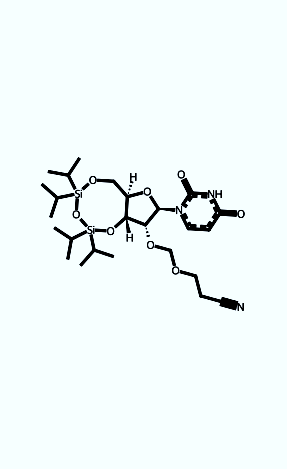 CC(C)[Si]1(C(C)C)OC[C@H]2O[C@@H](n3ccc(=O)[nH]c3=O)[C@H](OCOCCC#N)[C@@H]2O[Si](C(C)C)(C(C)C)O1